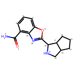 NC(=O)c1cccc2oc(C3NCC4CCCC43)nc12